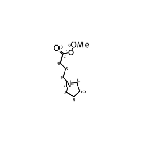 COOC(=O)CCCN1CCCC1